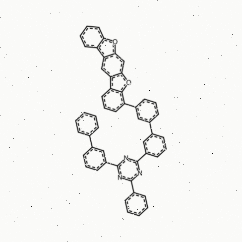 c1ccc(-c2cccc(-c3nc(-c4ccccc4)nc(-c4cccc(-c5cccc(-c6cccc7c6oc6cc8oc9ccccc9c8cc67)c5)c4)n3)c2)cc1